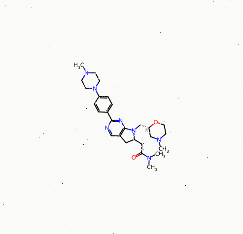 CN1CCN(c2ccc(-c3ncc4c(n3)N(C[C@H]3CN(C)CCO3)C(CC(=O)N(C)C)C4)cc2)CC1